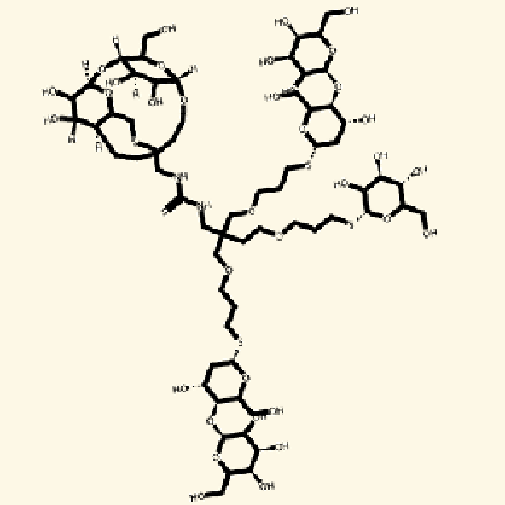 OCC1O[C@H](SCCCOCCC(CNC(=S)NCCSCC2O[C@@H]3O[C@@H]4C(CO)O[C@H](OCCCCC[C@H]2[C@H](O)C3O)C(O)[C@H]4O)(COCCCS[C@H]2C[C@@H](O)[C@H](O[C@@H]3OC(CO)[C@H](O)[C@H](O)C3O)C(CO)O2)COCCCS[C@H]2C[C@@H](O)[C@H](O[C@@H]3OC(CO)[C@H](O)[C@H](O)C3O)C(CO)O2)C(O)[C@@H](O)[C@@H]1O